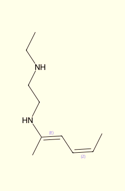 C/C=C\C=C(/C)NCCNCC